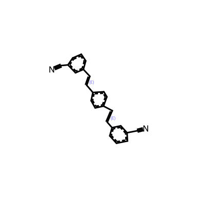 N#Cc1cccc(/C=C/c2ccc(/C=C/c3cccc(C#N)c3)cc2)c1